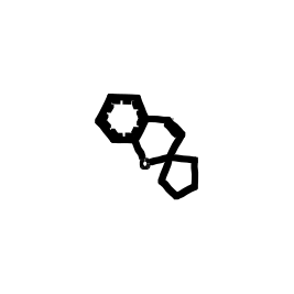 [C]1=CC2(CCCC2)Oc2ccccc21